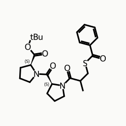 CC(CSC(=O)c1ccccc1)C(=O)N1CCC[C@H]1C(=O)N1CCC[C@H]1C(=O)OC(C)(C)C